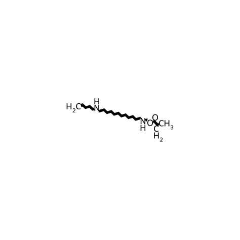 C=CCCCNCCCCCCCCCCCCNCOC(=O)C(=C)C